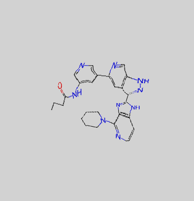 CCCC(=O)Nc1cncc(-c2cc3c(-c4nc5c(N6CCCCC6)nccc5[nH]4)n[nH]c3cn2)c1